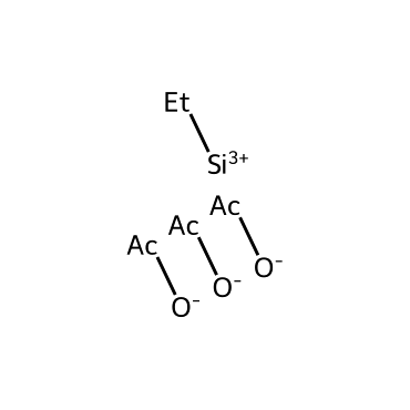 CC(=O)[O-].CC(=O)[O-].CC(=O)[O-].CC[Si+3]